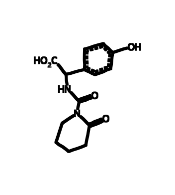 O=C(O)C(NC(=O)N1CCCCC1=O)c1ccc(O)cc1